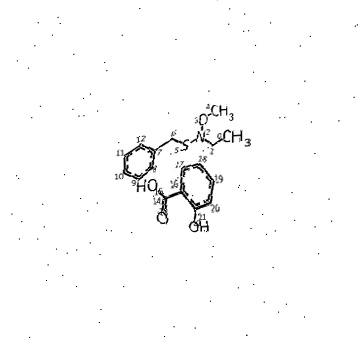 CCN(OC)SCc1ccccc1.O=C(O)c1ccccc1O